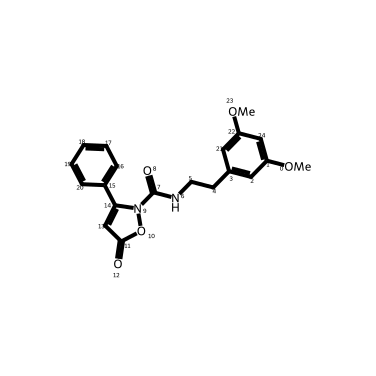 COc1cc(CCNC(=O)n2oc(=O)cc2-c2ccccc2)cc(OC)c1